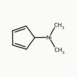 [CH3][Ni]([CH3])[CH]1C=CC=C1